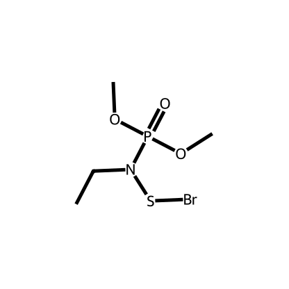 CCN(SBr)P(=O)(OC)OC